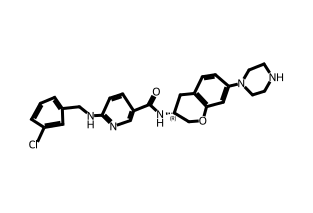 O=C(N[C@H]1COc2cc(N3CCNCC3)ccc2C1)c1ccc(NCc2cccc(Cl)c2)nc1